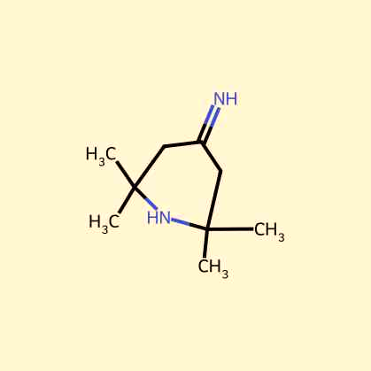 CC1(C)CC(=N)CC(C)(C)N1